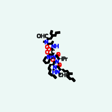 C=C/C=C\C=C\C[C@@H](C(=O)N(C)[C@H](C(=O)NC(CC(=O)NC(C)C(=O)N(C)[C@H](C=O)C/C(C=C)=C/C=C)C(=O)N1CCCCC1)C(C)C)N(C)C(=O)[C@H](CCCC(=C)/C=C\C=C)NC=O